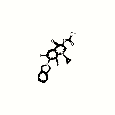 O=C(O)Oc1cn(C2CC2)c2c(F)c(N3Cc4ccccc4C3)c(F)cc2c1=O